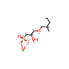 CCC(C)COCC(O)CS(=O)(=O)OO